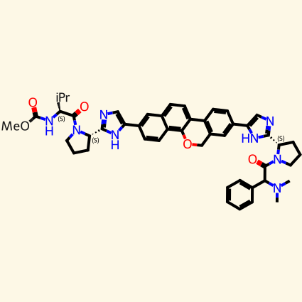 COC(=O)N[C@H](C(=O)N1CCC[C@H]1c1ncc(-c2ccc3c4c(ccc3c2)-c2ccc(-c3cnc([C@@H]5CCCN5C(=O)C(c5ccccc5)N(C)C)[nH]3)cc2CO4)[nH]1)C(C)C